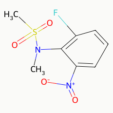 CN(c1c(F)cccc1[N+](=O)[O-])S(C)(=O)=O